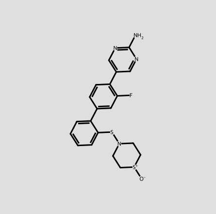 Nc1ncc(-c2ccc(-c3ccccc3SN3CC[S+]([O-])CC3)cc2F)cn1